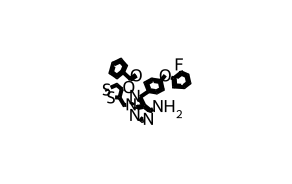 Nc1ncnc2c1c(-c1ccc(Oc3ccccc3F)cc1)nn2CC1SSCC1OC(=O)c1ccccc1